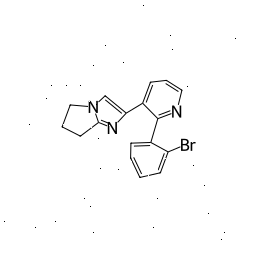 Brc1ccccc1-c1ncccc1-c1cn2c(n1)CCC2